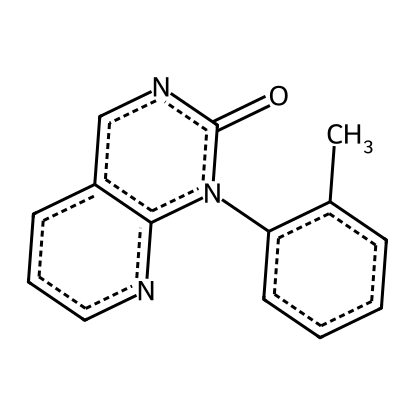 Cc1ccccc1-n1c(=O)ncc2cccnc21